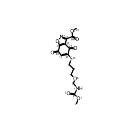 COC(=O)NCOCCCSC1=CC(=O)c2onc(C(=O)OC)c2C1=O